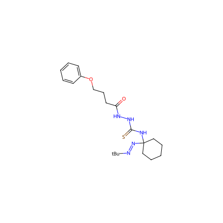 CC(C)(C)/N=N/C1(NC(=S)NNC(=O)CCCOc2ccccc2)CCCCC1